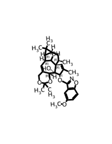 COc1ccc2onc(O[C@H]3C(C)=C[C@]45C(O)[C@@H](C=C6COC(C)(C)O[C@H]6[C@]34O)[C@H]3[C@@H](C[C@H]5C)C3(C)C)c2c1